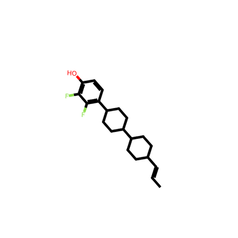 C/C=C/C1CCC(C2CCC(c3ccc(O)c(F)c3F)CC2)CC1